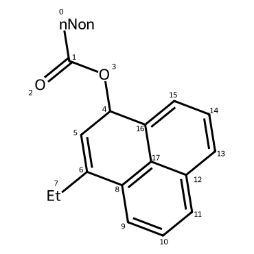 CCCCCCCCCC(=O)OC1C=C(CC)c2cccc3cccc1c23